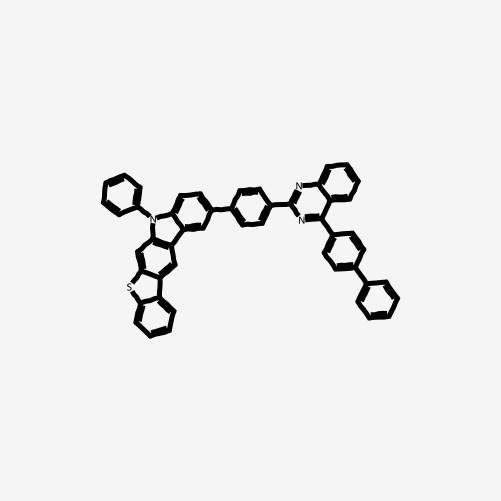 c1ccc(-c2ccc(-c3nc(-c4ccc(-c5ccc6c(c5)c5cc7c(cc5n6-c5ccccc5)sc5ccccc57)cc4)nc4ccccc34)cc2)cc1